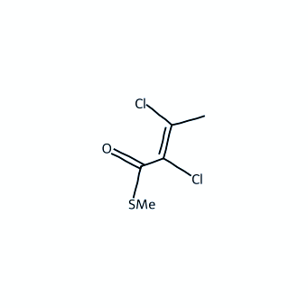 CSC(=O)C(Cl)=C(C)Cl